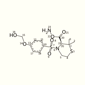 CC1(C)SCCN(S(=O)(=O)c2ccc(OCO)cc2)[C@H]1C(=O)ON